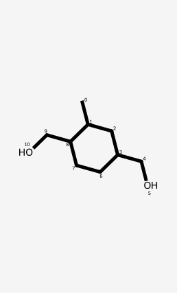 CC1CC(CO)CCC1CO